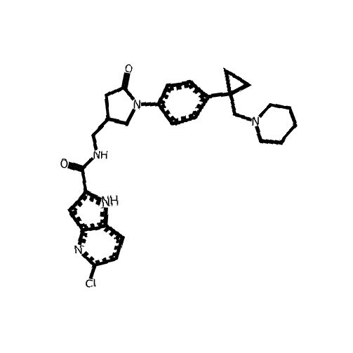 O=C(NCC1CC(=O)N(c2ccc(C3(CN4CCCCC4)CC3)cc2)C1)c1cc2nc(Cl)ccc2[nH]1